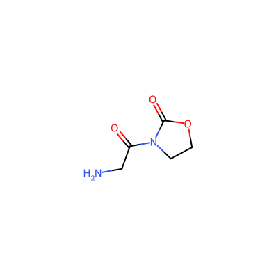 NCC(=O)N1CCOC1=O